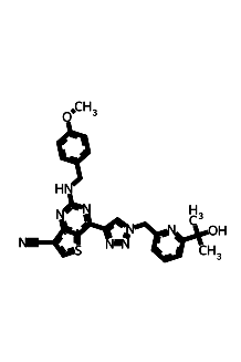 COc1ccc(CNc2nc(-c3cn(Cc4cccc(C(C)(C)O)n4)nn3)c3scc(C#N)c3n2)cc1